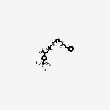 CC(C)(C)c1ccc(C(CNC(=O)CNC(=O)c2ccc(NC(=O)NCc3ccccc3)s2)C(=O)O)cc1